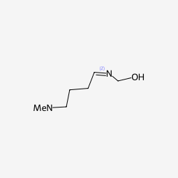 CNCCC/C=N\CO